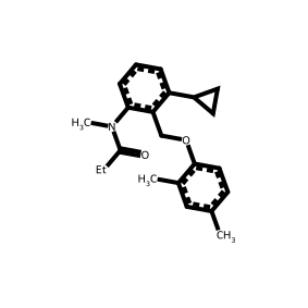 CCC(=O)N(C)c1cccc(C2CC2)c1COc1ccc(C)cc1C